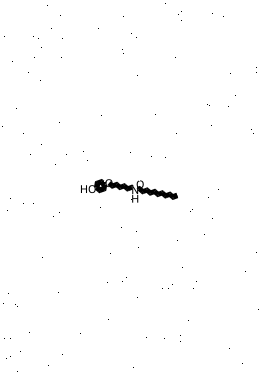 C=CCCCCCCCCC(=O)NCCCCCCOc1ccc(O)cc1